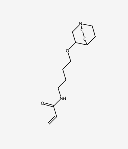 C=CC(=O)NCCCCOC1CN2CCC1CC2